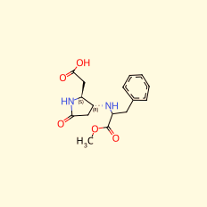 COC(=O)C(Cc1ccccc1)N[C@@H]1CC(=O)N[C@H]1CC(=O)O